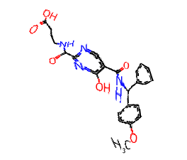 COc1ccc([C@@H](NC(=O)c2cnc(C(=O)NCCC(=O)O)nc2O)c2ccccc2)cc1